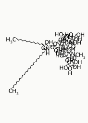 CCCCCCCCCCCCC/C=C/[C@@H](O)[C@H](CO[C@@H]1OC(CO)[C@@H](O[C@@H]2OC(CO)[C@H](O[C@@H]3OC(CO)[C@H](O)[C@H](O[C@@H]4OC(CO)[C@H](O)[C@H](O)C4O)C3NC(C)=O)[C@H](O[C@]3(C(=O)O)CC(O)[C@@H](NC(=O)CO)C([C@H](O)[C@H](O)CO)O3)C2O)[C@H](O)C1O)NC(=O)CCCCCCCCCCCCCCCCCCCCCCCCC